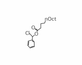 CCCCCCCCCCCC(=O)OC(Cl)c1ccccc1